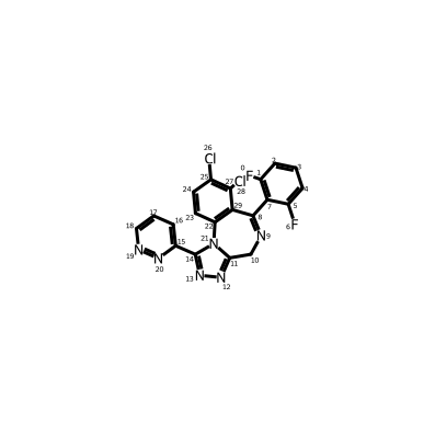 Fc1cccc(F)c1C1=NCc2nnc(-c3cccnn3)n2-c2ccc(Cl)c(Cl)c21